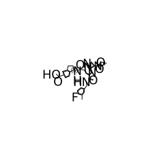 CO[N+](=O)c1cnn2c(C(=O)N[C@H]3CCc4cc(C(=O)O)ccc43)cc(C(=O)NCc3ccc(F)c(C)c3)nc12